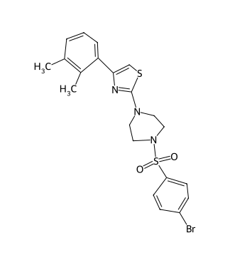 Cc1cccc(-c2csc(N3CCN(S(=O)(=O)c4ccc(Br)cc4)CC3)n2)c1C